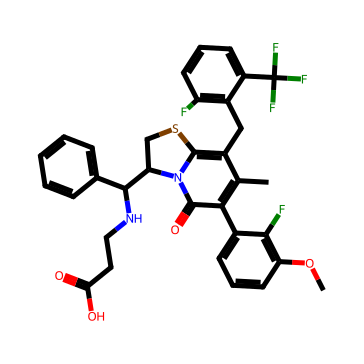 COc1cccc(-c2c(C)c(Cc3c(F)cccc3C(F)(F)F)c3n(c2=O)C(C(NCCC(=O)O)c2ccccc2)CS3)c1F